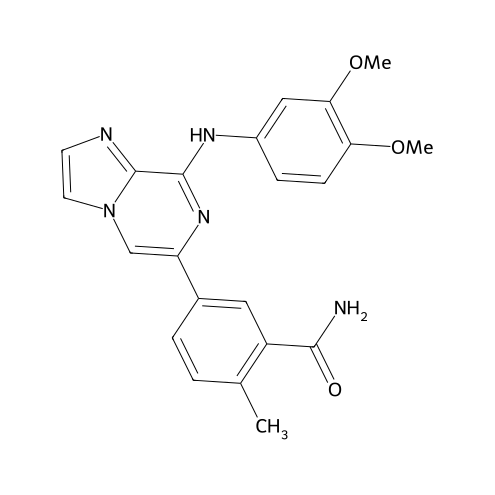 COc1ccc(Nc2nc(-c3ccc(C)c(C(N)=O)c3)cn3ccnc23)cc1OC